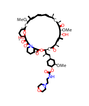 CO[C@H]1C[C@@H]2CC[C@@H](C)[C@@](O)(O2)C(=O)C(=O)N2CCCC[C@H]2C(=O)O[C@H]([C@H](C)C[C@@H]2CC[C@@H](OC(=O)NCCN3CCOCC3)[C@H](OC)C2)CC(=O)[C@H](C)/C=C(\C)[C@@H](O)[C@@H](OC)C(=O)[C@H](C)C[C@H](C)/C=C/C=C/C=C/1C